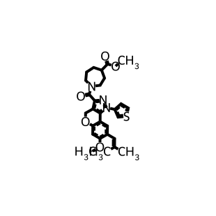 COC(=O)C1CCCN(C(=O)c2nn(-c3ccsc3)c3c2COc2cc(OC)c(C=C(C)C)cc2-3)CC1